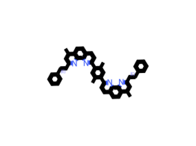 Cc1cc(-c2ccc3ccc4c(C)cc(/C=C/c5ccccc5)nc4c3n2)c(C)cc1-c1ccc2ccc3c(C)cc(/C=C/c4ccccc4)nc3c2n1